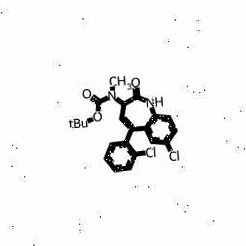 CN(C(=O)OC(C)(C)C)C1C=C(c2ccccc2Cl)c2cc(Cl)ccc2NC1=O